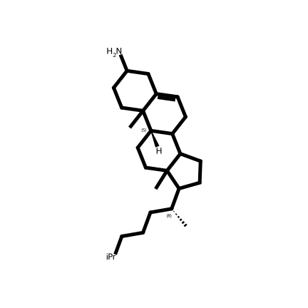 CC(C)CCC[C@@H](C)C1CCC2C3CC=C4CC(N)CCC4(C)[C@H]3CCC21C